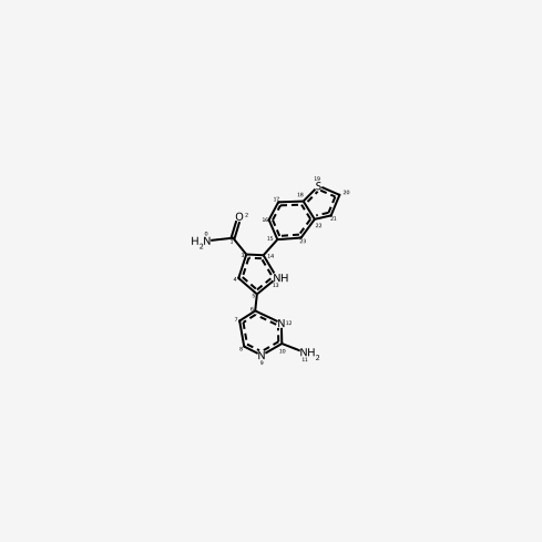 NC(=O)c1cc(-c2ccnc(N)n2)[nH]c1-c1ccc2sccc2c1